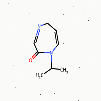 CC(C)N1C=CCN=CC1=O